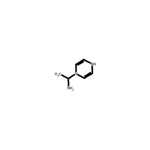 CC(N)N1C=CNC=C1